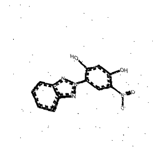 O=[N+]([O-])c1cc(-n2nc3ccccc3n2)c(O)cc1O